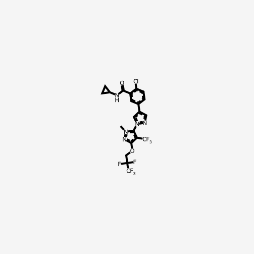 Cn1nc(OCC(F)(F)C(F)(F)F)c(C(F)(F)F)c1-n1cc(-c2ccc(Cl)c(C(=O)NC3CC3)c2)cn1